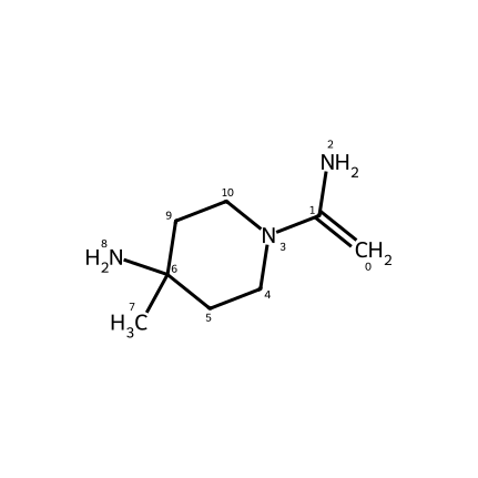 C=C(N)N1CCC(C)(N)CC1